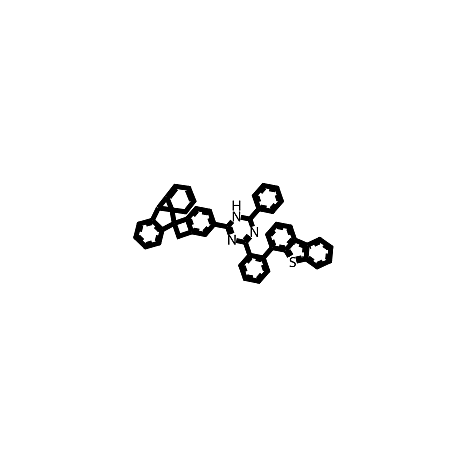 C1=CCC23C(=C1)C2c1ccccc1C31Cc2cc(C3=NC(c4ccccc4-c4cccc5c4sc4ccccc45)=NC(c4ccccc4)N3)ccc21